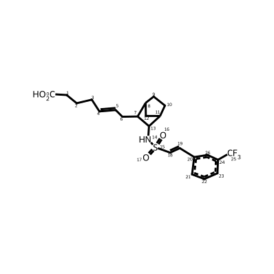 O=C(O)CCCC=CCC1C2CCC(C2)C1NS(=O)(=O)C=Cc1cccc(C(F)(F)F)c1